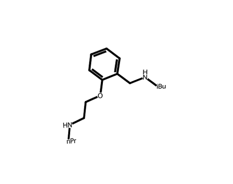 CCCNCCOc1ccccc1CNC(C)CC